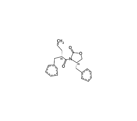 C=CC[C@@H](Cc1ccccc1)C(=O)N1C(=O)OC[C@@H]1Cc1ccccc1